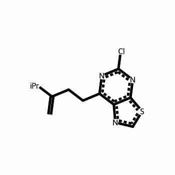 C=C(CCc1nc(Cl)nc2scnc12)C(C)C